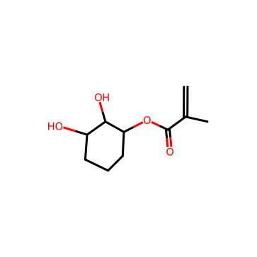 C=C(C)C(=O)OC1CCCC(O)C1O